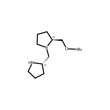 CCCCOC[C@@H]1CCCN1C[C@@H]1CCCN1